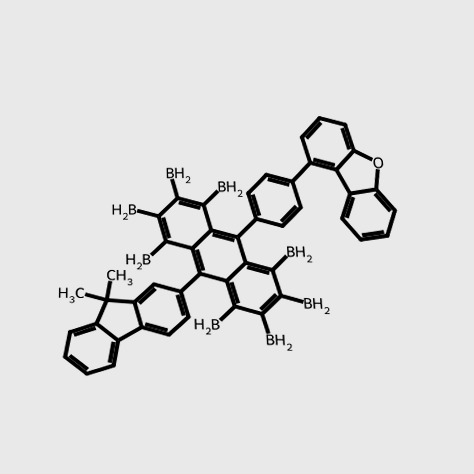 Bc1c(B)c(B)c2c(-c3ccc4c(c3)C(C)(C)c3ccccc3-4)c3c(B)c(B)c(B)c(B)c3c(-c3ccc(-c4cccc5oc6ccccc6c45)cc3)c2c1B